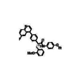 CCOc1ccc(NC(=O)[C@H](Cc2ccccc2OC)c2ccc(-c3ccnc4ccc(F)cc34)cc2)cc1